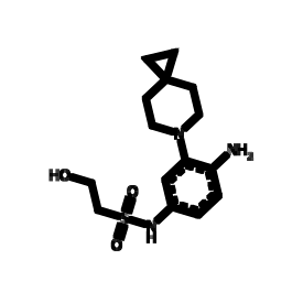 Nc1ccc(NS(=O)(=O)CCO)cc1N1CCC2(CC1)CC2